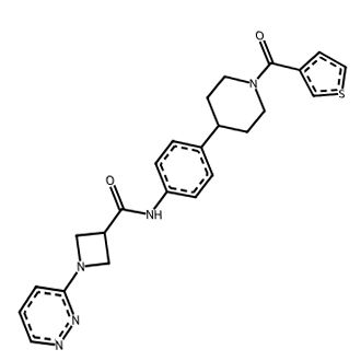 O=C(Nc1ccc(C2CCN(C(=O)c3ccsc3)CC2)cc1)C1CN(c2cccnn2)C1